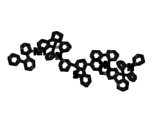 c1ccc(-c2ccccc2-c2ccccc2Nc2ccc3c(c2)C2(c4ccccc4-3)c3ccccc3N(c3cccc(-c4ccc(-c5ccc(N(c6ccc7c(c6)C6(c8ccccc8-7)c7ccccc7N(c7ccccc7)c7ccccc76)c6ccccc6-c6ccccc6-c6ccccc6)cc5)c5c4sc4ccccc45)c3)c3ccccc32)cc1